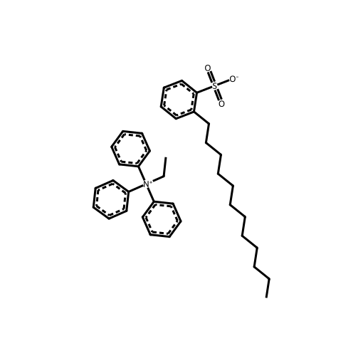 CCCCCCCCCCCCc1ccccc1S(=O)(=O)[O-].CC[N+](c1ccccc1)(c1ccccc1)c1ccccc1